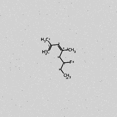 C=C(C)/C=C(/C)CC(F)CC